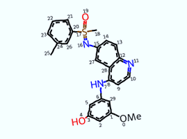 COc1cc(O)cc(Nc2ccnc3ccc(N=S(C)(=O)c4cccc(C)c4)cc23)c1